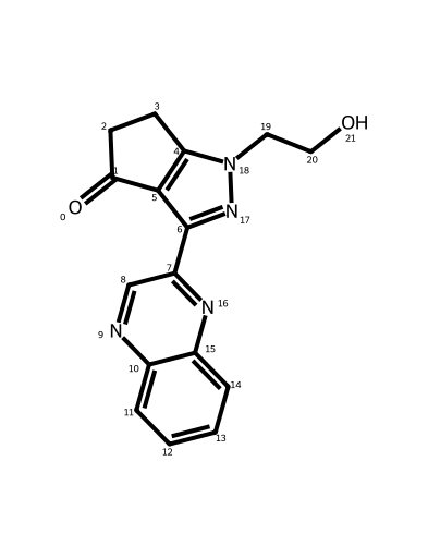 O=C1CCc2c1c(-c1cnc3ccccc3n1)nn2CCO